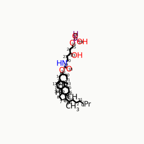 CC(C)CCC[C@@H](C)[C@H]1CC[C@H]2[C@@H]3CC=C4C[C@@H](OC(=O)NCCC(O)CCO[PH](=O)O)CC[C@@]45C[C@]35CC[C@]12C